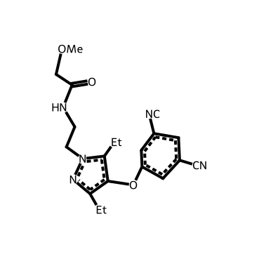 [C-]#[N+]c1cc(C#N)cc(Oc2c(CC)nn(CCNC(=O)COC)c2CC)c1